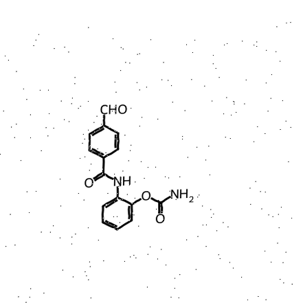 NC(=O)Oc1ccccc1NC(=O)c1ccc(C=O)cc1